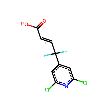 O=C(O)/C=C/C(F)(F)c1cc(Cl)nc(Cl)c1